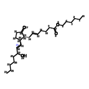 CCCCCCOC(=O)CCCC=CC[C@H]1C(=O)CC[C@@H]1/C=C/C(O)CCCCC